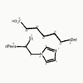 CCCCCC(CC)Cn1ccnc1.CCCCCCCCCCCCCCCC(=O)O